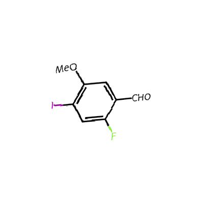 COc1cc(C=O)c(F)cc1I